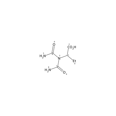 CCC(C(=O)O)N(C(N)=O)C(N)=O